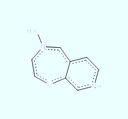 Cn1ccoc2c[nH]ccc-2c1